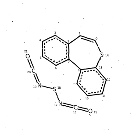 C1=Cc2ccccc2-c2ccccc2S1.O=C=NSN=C=O